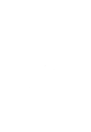 CC1(Oc2ccc(C(C)(C)c3ccc(OC4(C)CO4)cc3)cc2)CO1